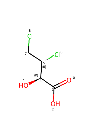 O=C(O)[C@@H](O)[C@@H](Cl)CCl